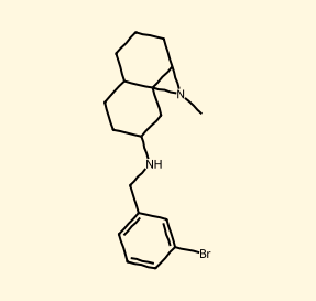 CN1C2CCCC3CCC(NCc4cccc(Br)c4)CC321